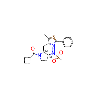 Cc1sc(-c2ccccc2)nc1C[C@H]1[C@@H](NS(C)(=O)=O)CCN1C(=O)C1CCC1